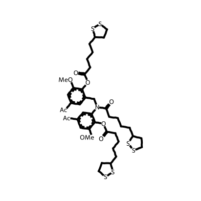 COc1cc(C(C)=O)cc(CN(C(=O)CCCCC2CCSS2)c2cc(C(C)=O)cc(OC)c2OC(=O)CCCCC2CCSS2)c1OC(=O)CCCCC1CCSS1